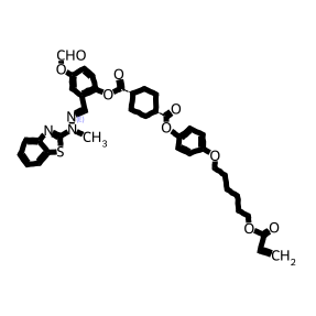 C=CC(=O)OCCCCCCOc1ccc(OC(=O)[C@H]2CC[C@@H](C(=O)Oc3ccc(OC=O)cc3/C=N/N(C)c3nc4ccccc4s3)CC2)cc1